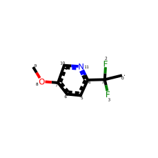 [CH2]C(F)(F)c1ccc(OC)cn1